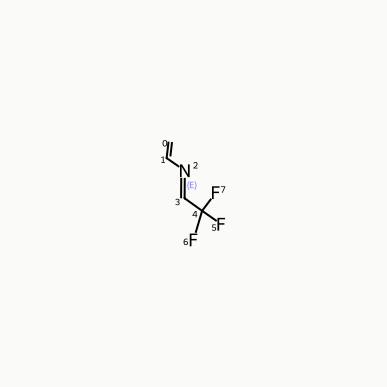 C=C/N=C/C(F)(F)F